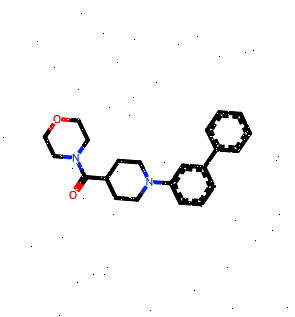 O=C(C1CCN(c2cccc(-c3ccccc3)c2)CC1)N1CCOCC1